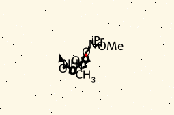 COCCN(CCOc1ccc2ccn(-c3cc(C(=O)NC4CC4)ccc3C)c(=O)c2c1)C(C)C